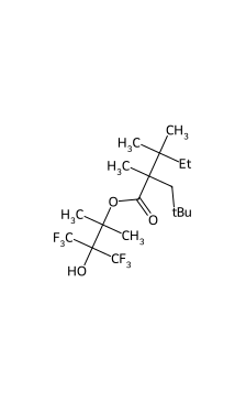 CCC(C)(C)C(C)(CC(C)(C)C)C(=O)OC(C)(C)C(O)(C(F)(F)F)C(F)(F)F